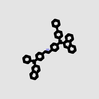 C(=C\c1ccc(N(c2ccc(-c3ccccc3)cc2)c2cc3ccccc3c3ccccc23)cc1)/c1ccc(N(c2ccccc2)c2ccc3ccccc3c2)cc1